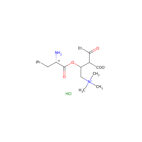 CCC(=O)C(C(=O)[O-])C(C[N+](C)(C)C)OC(=O)[C@@H](N)CC(C)C.Cl